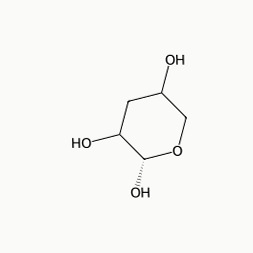 OC1CO[C@H](O)C(O)C1